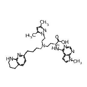 Cc1cc(C)n(CCN(CCCCc2ccc3c(n2)NCCC3)CC[C@H](Nc2ncnc3c2ccn3C)C(=O)O)n1